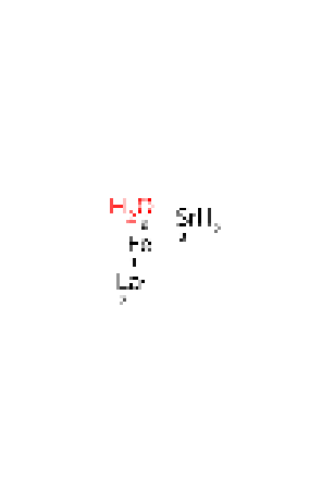 O.[Fe].[La].[SrH2]